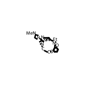 CCC1c2cc3nc(N4CC[C@H](NC)C4)c(C)c(n3n2)N(C)CCCCCOc2ccccc2C(=O)N1C